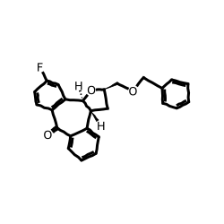 O=C1c2ccccc2[C@H]2C[C@H](COCc3ccccc3)O[C@@H]2c2cc(F)ccc21